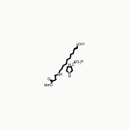 C1CCNC1.CC(=O)O.CCCCCCCCC=CCCCCCCCCNCCC(=O)OC